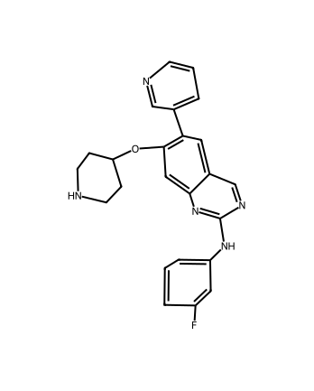 Fc1cccc(Nc2ncc3cc(-c4cccnc4)c(OC4CCNCC4)cc3n2)c1